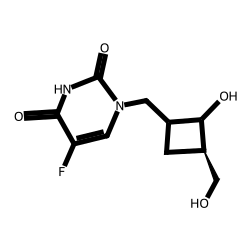 O=c1[nH]c(=O)n(CC2C[C@H](CO)C2O)cc1F